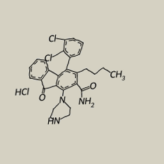 CCCCc1c(C(N)=O)c(N2CCNCC2)c2c(c1-c1cccc(Cl)c1Cl)-c1ccccc1C2=O.Cl